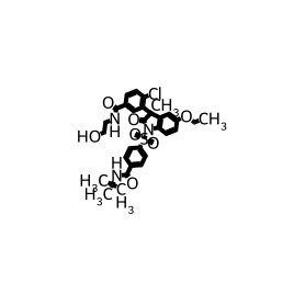 CCOc1ccc2c(c1)C(C)(c1cc(C(=O)NCCO)ccc1Cl)C(=O)N2S(=O)(=O)c1ccc(C(=O)NC(C)(C)C)cc1